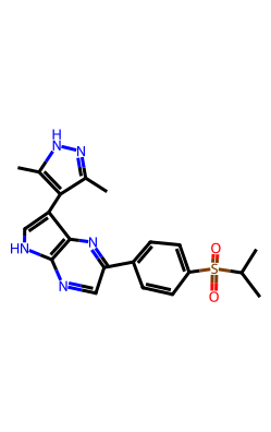 Cc1n[nH]c(C)c1-c1c[nH]c2ncc(-c3ccc(S(=O)(=O)C(C)C)cc3)nc12